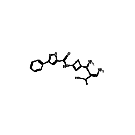 CC(O)/C(=C/N)N(N)[C@H]1C[C@@H](NC(=O)c2cc(-c3ccccc3)no2)C1